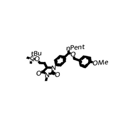 CCCCCC(OCc1ccc(OC)cc1)c1ccc(N2C(=O)N(C)C(=O)C2CCO[Si](C)(C)C(C)(C)C)cc1